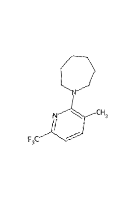 Cc1ccc(C(F)(F)F)nc1N1CCCCCC1